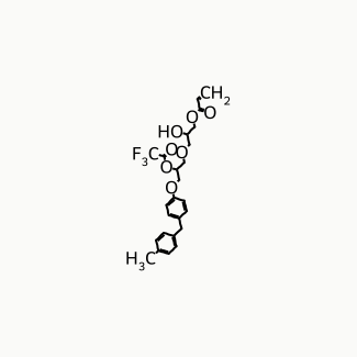 C=CC(=O)OCC(O)COCC(COc1ccc(Cc2ccc(C)cc2)cc1)OC(=O)C(F)(F)F